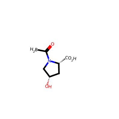 BC(=O)N1C[C@@H](O)C[C@H]1C(=O)O